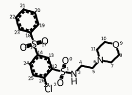 O=S(=O)(NCCN1CCOCC1)c1cc(S(=O)(=O)c2ccccc2)ccc1Cl